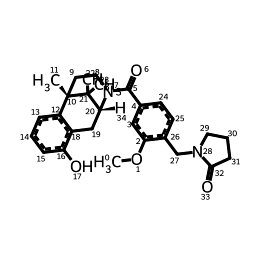 COc1cc(C(=O)N2CC[C@@]3(C)c4cccc(O)c4C[C@@H]2C3(C)C)ccc1CN1CCCC1=O